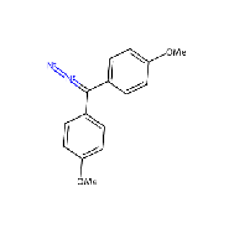 COc1ccc(C(=[N+]=[N-])c2ccc(OC)cc2)cc1